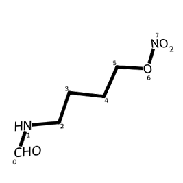 O=CNCCCCO[N+](=O)[O-]